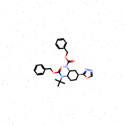 CC(C)(C)N(C(=O)OCc1ccccc1)[C@@H]1CC[C@H](c2nnco2)C[C@@H]1NC(=O)OCc1ccccc1